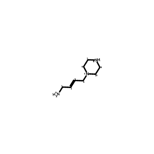 NC/C=C/CN1CCNCC1